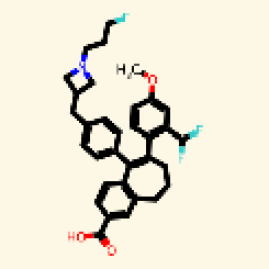 COc1ccc(C2=C(c3ccc(CC4CN(CCCF)C4)cc3)c3ccc(C(=O)O)cc3CCC2)c(C(F)F)c1